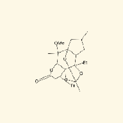 CCC1CC(=O)OC2C(C)(OC)C34CC(C)CC3C3(CC)OC(C)(O4)OC123